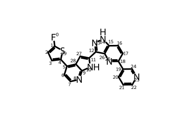 Fc1ccc(-c2ccnc3[nH]c(-c4n[nH]c5ccc(-c6cccnc6)nc45)cc23)s1